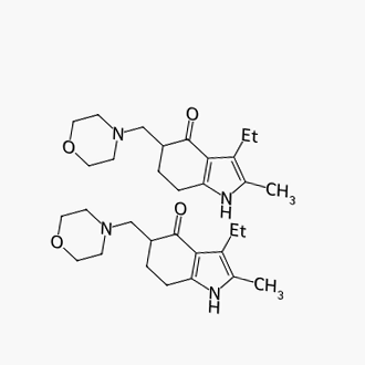 CCc1c(C)[nH]c2c1C(=O)C(CN1CCOCC1)CC2.CCc1c(C)[nH]c2c1C(=O)C(CN1CCOCC1)CC2